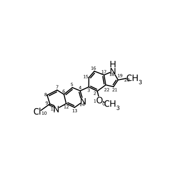 COc1c(-c2cc3ccc(Cl)nc3cn2)ccc2[nH]c(C)cc12